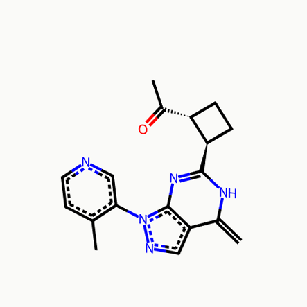 C=C1NC([C@@H]2CC[C@H]2C(C)=O)=Nc2c1cnn2-c1cnccc1C